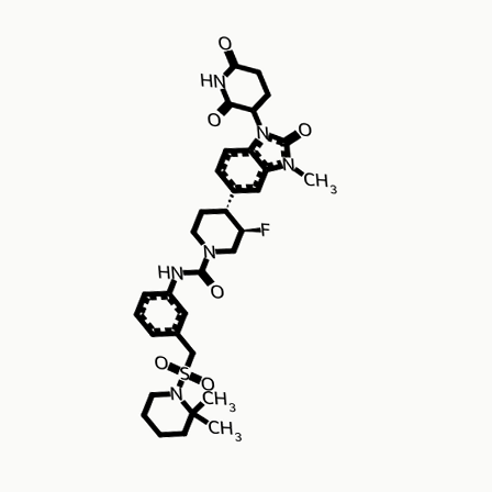 Cn1c(=O)n(C2CCC(=O)NC2=O)c2ccc([C@H]3CCN(C(=O)Nc4cccc(CS(=O)(=O)N5CCCCC5(C)C)c4)C[C@@H]3F)cc21